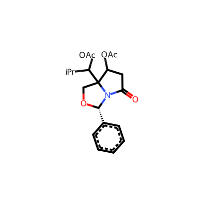 CC(=O)OC1CC(=O)N2[C@H](c3ccccc3)OCC12C(OC(C)=O)C(C)C